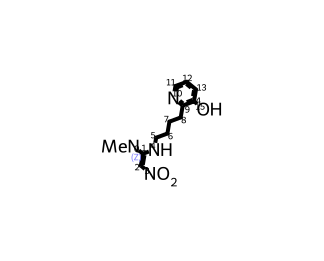 CN/C(=C/[N+](=O)[O-])NCCCCc1ncccc1O